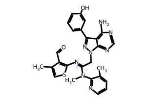 Cc1cccnc1N(C)/C(Cn1nc(-c2cccc(O)c2)c2c(N)ncnc21)=N\c1scc(C)c1C=O